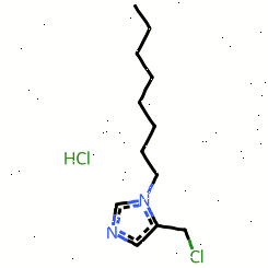 CCCCCCCCn1cncc1CCl.Cl